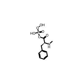 CN[C@@H](Cc1ccccc1)C(=O)OP(=O)(O)OO